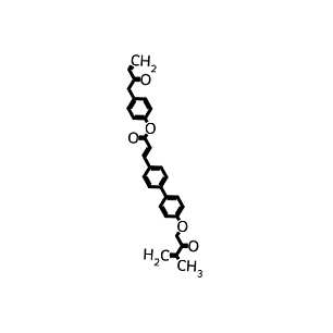 C=CC(=O)Cc1ccc(OC(=O)/C=C/c2ccc(-c3ccc(OCC(=O)C(=C)C)cc3)cc2)cc1